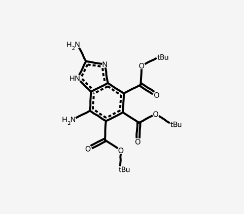 CC(C)(C)OC(=O)c1c(C(=O)OC(C)(C)C)c(N)c2[nH]c(N)nc2c1C(=O)OC(C)(C)C